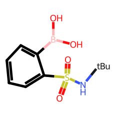 CC(C)(C)NS(=O)(=O)c1ccccc1B(O)O